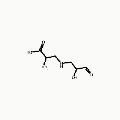 NC(CNCC(O)C=O)C(=O)O